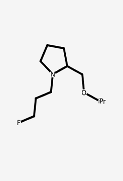 CC(C)OCC1CCCN1CCCF